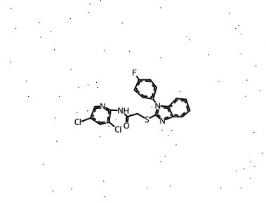 O=C(CSc1nc2ccccc2n1-c1ccc(F)cc1)Nc1ncc(Cl)cc1Cl